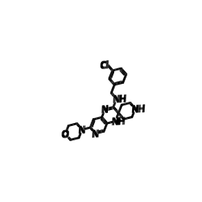 Clc1cccc(CNC2=Nc3cc(N4CCOCC4)ncc3NC23CCNCC3)c1